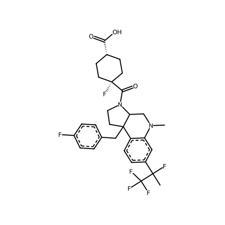 CN1CC2N(C(=O)[C@]3(F)CC[C@@H](C(=O)O)CC3)CCC2(Cc2ccc(F)cc2)c2ccc(C(C)(F)C(F)(F)F)cc21